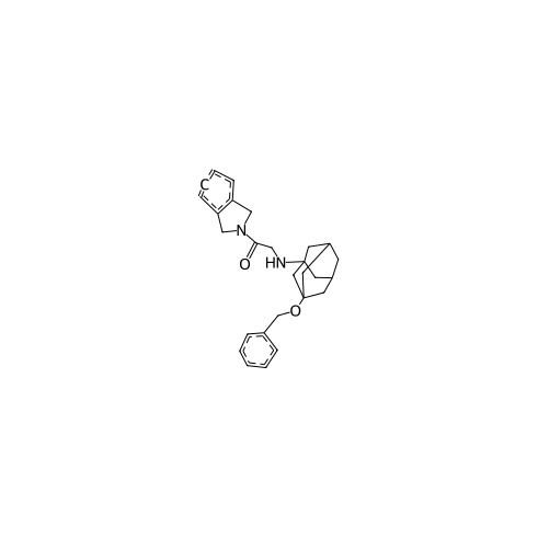 O=C(CNC12CC3CC(C1)CC(OCc1ccccc1)(C3)C2)N1Cc2ccccc2C1